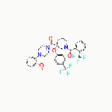 COc1ccccc1N1CCN(C(=O)C2(Oc3ccc(C(F)(F)F)cc3)CCCN(C(=O)c3ccccc3C(F)(F)F)C2)CC1